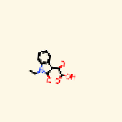 CCN1C(=O)C(C(=O)C(=O)O)c2ccccc21